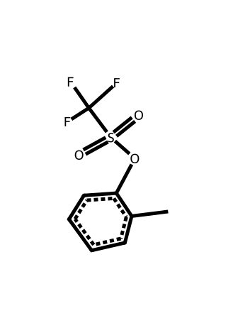 Cc1ccccc1OS(=O)(=O)C(F)(F)F